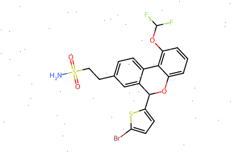 NS(=O)(=O)CCc1ccc2c(c1)C(c1ccc(Br)s1)Oc1cccc(OC(F)F)c1-2